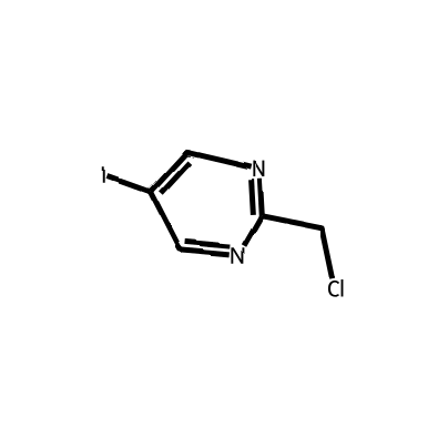 ClCc1ncc(I)cn1